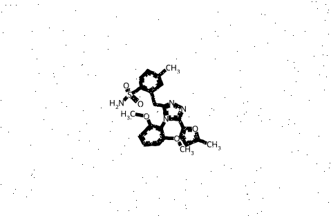 COc1cccc(OC)c1-n1c(Cc2cc(C)ccc2S(N)(=O)=O)nnc1-c1ccc(C)o1